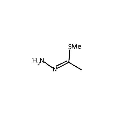 CS/C(C)=N\N